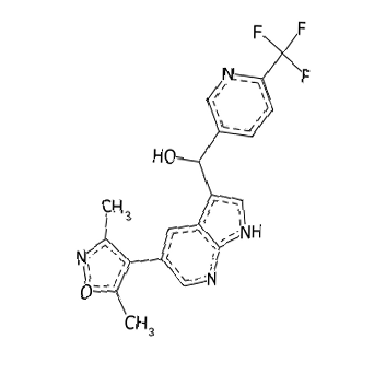 Cc1noc(C)c1-c1cnc2[nH]cc(C(O)c3ccc(C(F)(F)F)nc3)c2c1